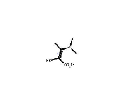 CCOC(=O)/C(C#N)=C(/C)N(C)C